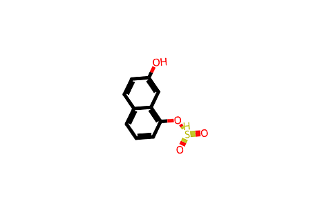 O=[SH](=O)Oc1cccc2ccc(O)cc12